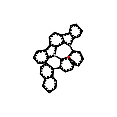 c1ccc(-n2c3ccccc3c3ccc4c5ccccc5n(-c5ccccc5-c5cccc6ccccc56)c4c32)cc1